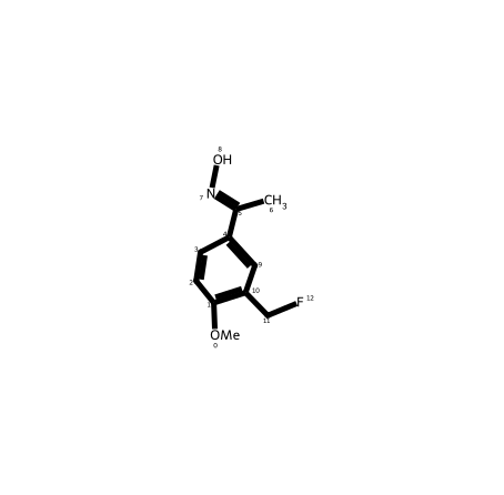 COc1ccc(C(C)=NO)cc1CF